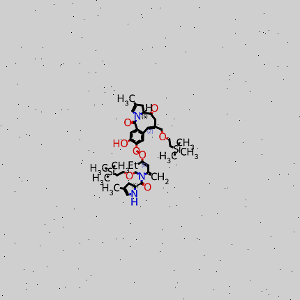 C=C(/C=C(\CC)OOc1cc2c(cc1O)C(=O)N1C=C(C)C[C@H]1C(=O)C/C(COCC[Si](C)(C)C)=C/2)N(COCC[Si](C)(C)C)C(=O)[C@@H]1CC(C)=CN1